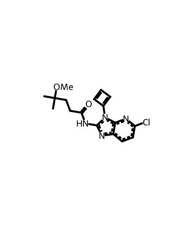 COC(C)(C)CCC(=O)Nc1nc2ccc(Cl)nc2n1C1=CC=C1